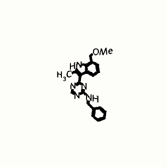 COCc1cccc2c(-c3ncnc(NCc4ccccc4)n3)c(C)[nH]c12